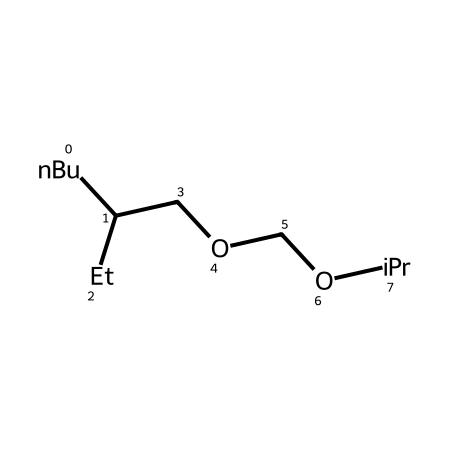 CCCCC(CC)COCOC(C)C